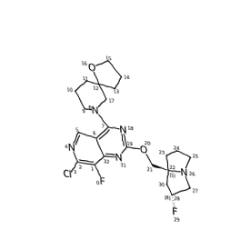 Fc1c(Cl)ncc2c(N3CCCC4(CCCO4)C3)nc(OC[C@@]34CCCN3C[C@H](F)C4)nc12